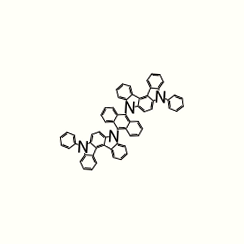 c1ccc(-n2c3ccccc3c3c4c5ccccc5n(-c5c6ccccc6c(-n6c7ccccc7c7c8c9ccccc9n(-c9ccccc9)c8ccc76)c6ccccc56)c4ccc32)cc1